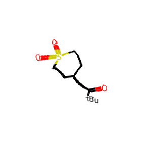 CC(C)(C)C(=O)C1CCS(=O)(=O)CC1